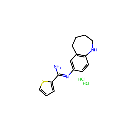 Cl.Cl.NC(=Nc1ccc2c(c1)CCCCN2)c1cccs1